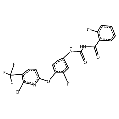 O=C(NC(=O)c1ccccc1Cl)Nc1ccc(Oc2ccc(C(F)(F)F)c(Cl)n2)c(F)c1